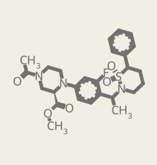 COC(=O)[C@H]1CN(C(C)=O)CCN1c1ccc(C(C)N2CCCC(c3ccccc3)S2(=O)=O)c(F)c1